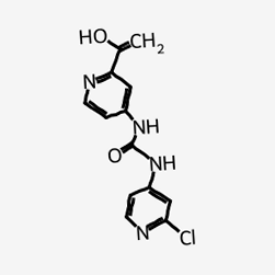 C=C(O)c1cc(NC(=O)Nc2ccnc(Cl)c2)ccn1